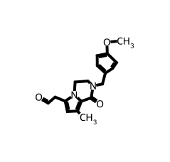 COc1ccc(CN2CCn3c(CC=O)cc(C)c3C2=O)cc1